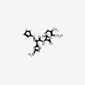 CC1=C(C(=O)O)N2C(=O)C(NC(=O)/C(=N\OC3C=CCC3)c3nsc(N)n3)[C@H]2SC1